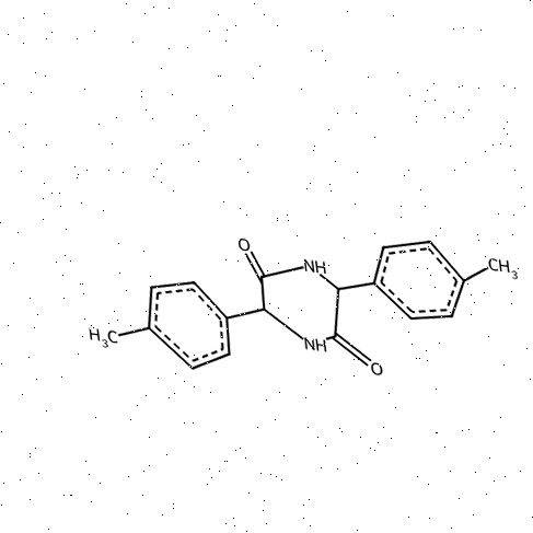 Cc1ccc(C2NC(=O)C(c3ccc(C)cc3)NC2=O)cc1